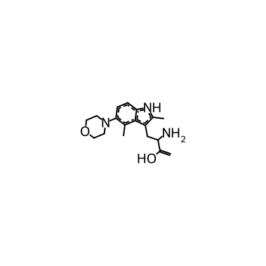 C=C(O)C(N)Cc1c(C)[nH]c2ccc(N3CCOCC3)c(C)c12